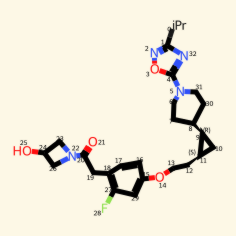 CC(C)c1noc(N2CCC([C@H]3C[C@H]3CCOc3ccc(CC(=O)N4CC(O)C4)c(F)c3)CC2)n1